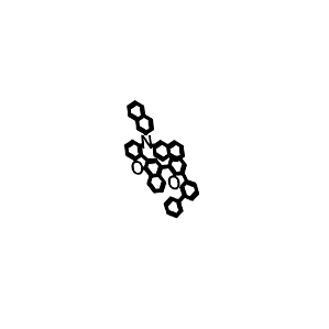 c1ccc(-c2cccc3c2oc2c(-c4cc5c(oc6cccc(N(c7ccc8ccccc8c7)c7ccc8ccccc8c7)c65)c5ccccc45)cccc23)cc1